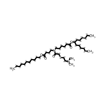 CCCCCCCCCCCOC(=O)CCCN(CCCCCC(=O)OC(CCCCCC)CCCCCC)C(=O)CSCCN(C)C